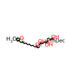 CCCCCCCCCC[C@H](O)[C@H]1CC[C@H]([C@H](O)CC[C@H](O)[C@@H]2CC[C@@H](CCCCCCC[C@@H]([18F])CC3=C[C@H](C)CC3=O)O2)O1